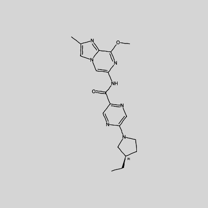 CC[C@@H]1CCN(c2cnc(C(=O)Nc3cn4cc(C)nc4c(OC)n3)cn2)C1